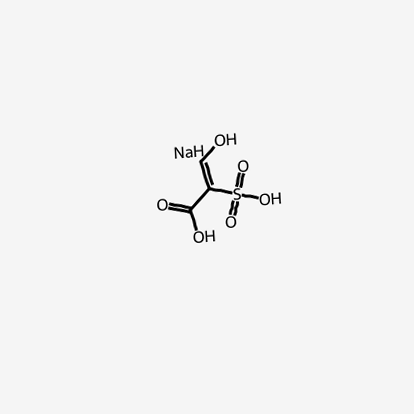 O=C(O)C(=CO)S(=O)(=O)O.[NaH]